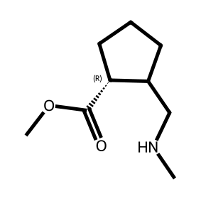 CNCC1CCC[C@H]1C(=O)OC